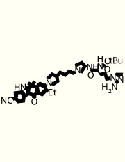 CCc1cc2c(cc1N1CCC(CCCCN3CC[C@@H](NC(=O)[C@H](CCCn4ccnc4N)NC(=O)OC(C)(C)C)C3)CC1)C(C)(C)c1[nH]c3cc(C#N)ccc3c1C2=O